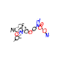 Cc1ccc(Cn2c(-c3ccc(Oc4ccc(NC(=O)OCCOCCN(C)C)cc4)cc3)cc(C(F)(F)F)c(C#N)c2=O)c(C)c1